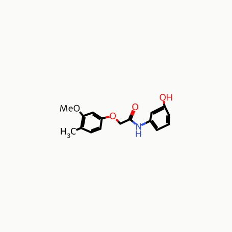 COc1cc(OCC(=O)Nc2cccc(O)c2)ccc1C